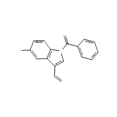 O=Cc1cn(C(=O)c2ccccc2)c2ccc(F)cc12